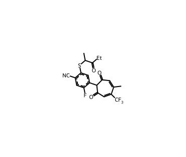 CCC(=O)C(C)Sc1cc(C2C(=O)C=C(C)C(C(F)(F)F)=CC2=O)c(F)cc1C#N